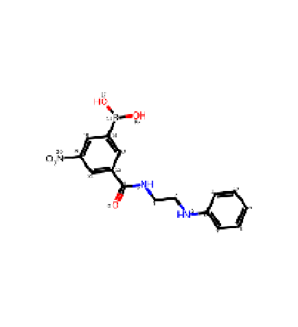 O=C(NCCNc1ccccc1)c1cc(B(O)O)cc([N+](=O)[O-])c1